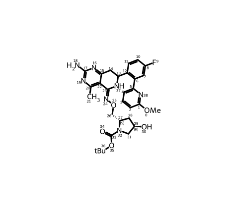 COc1cccc(-c2cc(F)ccc2C2Cc3nc(N)nc(C)c3C(=NOC[C@@H]3C[C@@H](O)CN3C(=O)OC(C)(C)C)N2)n1